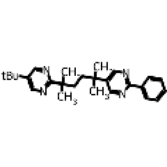 CC(C)(C)c1cnc(C(C)(C)CCC(C)(C)c2cnc(-c3ccccc3)nc2)nc1